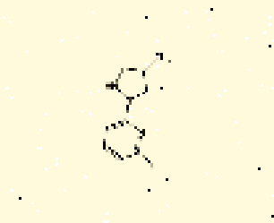 CC1CNN(c2cccc(F)n2)C1